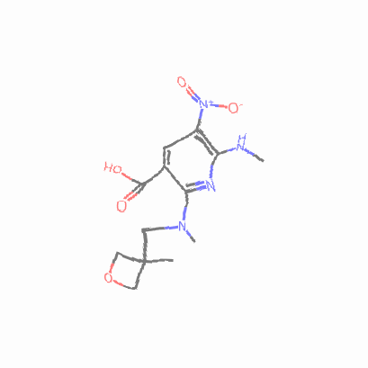 CNc1nc(N(C)CC2(C)COC2)c(C(=O)O)cc1[N+](=O)[O-]